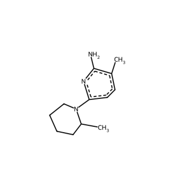 Cc1ccc(N2CCCCC2C)nc1N